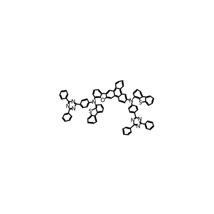 c1ccc(-c2nc(-c3ccccc3)nc(-c3ccc(N(c4ccc5c(c4)c4ccccc4c4cc6c(cc54)oc4c(N(c5ccc(-c7nc(-c8ccccc8)nc(-c8ccccc8)n7)cc5)c5cccc7c5sc5ccccc57)cccc46)c4cccc5c4sc4ccccc45)cc3)n2)cc1